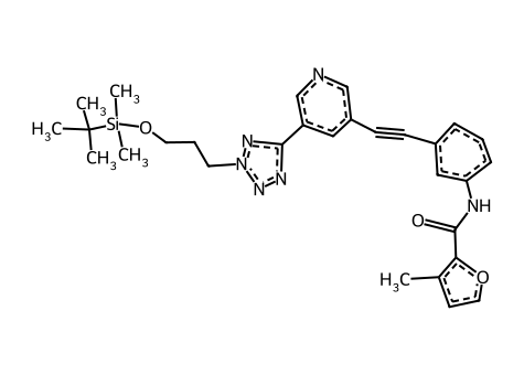 Cc1ccoc1C(=O)Nc1cccc(C#Cc2cncc(-c3nnn(CCCO[Si](C)(C)C(C)(C)C)n3)c2)c1